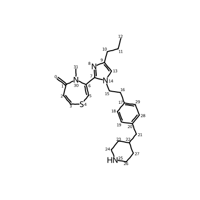 C=C1C=CSC=C(c2nc(CCC)cn2CCc2ccc(CC3CCNCC3)cc2)N1C